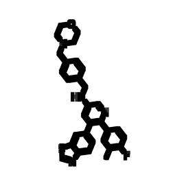 Cc1cc(-c2ncc(NCc3ccc(CN4CCOCC4)cc3)cc2-c2ccc3ncsc3c2)ccc1F